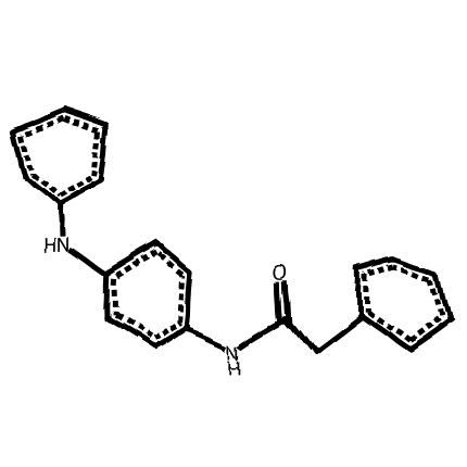 O=C(Cc1ccccc1)Nc1ccc(Nc2ccccc2)cc1